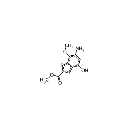 COC(=O)c1cc2c(O)cc(N)c(OC)c2s1